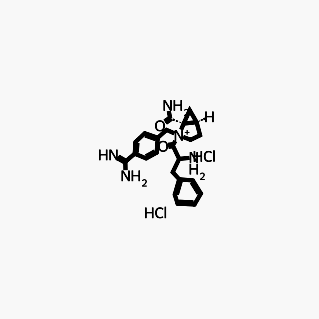 Cl.Cl.N=C(N)c1ccc(C[N+]2(C(=O)C(N)Cc3ccccc3)CC[C@@H]3C[C@@]32C(N)=O)cc1